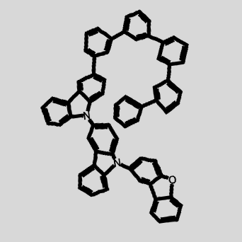 c1ccc(-c2cccc(-c3cccc(-c4cccc(-c5cccc(-c6ccc7c(c6)c6ccccc6n7-c6ccc7c(c6)c6ccccc6n7-c6ccc7oc8ccccc8c7c6)c5)c4)c3)c2)cc1